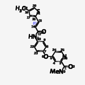 CNC(=O)c1cc(Oc2ccc(NC(=O)/C=C/c3cc(C)cs3)cc2)ccn1